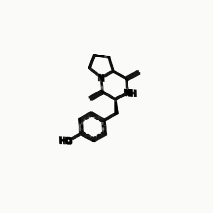 C=C1N[C@@H](Cc2ccc(O)cc2)C(=C)N2CCCC12